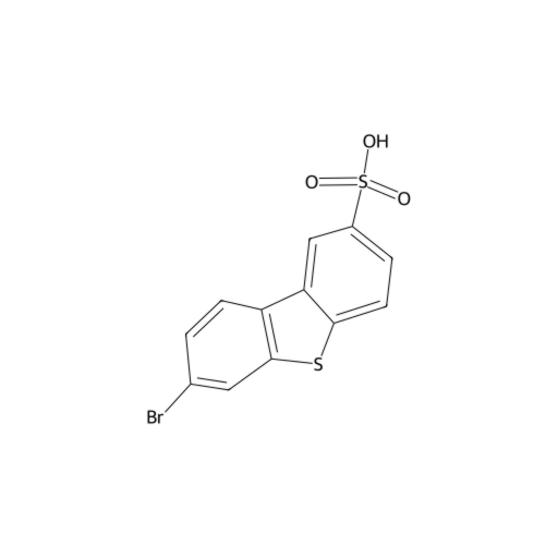 O=S(=O)(O)c1ccc2sc3cc(Br)ccc3c2c1